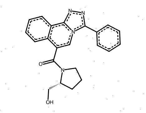 O=C(c1cn2c(-c3ccccc3)nnc2c2ccccc12)N1CCC[C@@H]1CO